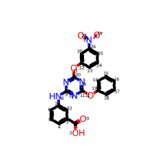 O=C(O)c1cccc(Nc2nc(Oc3ccccc3)nc(Oc3cccc([N+](=O)[O-])c3)n2)c1